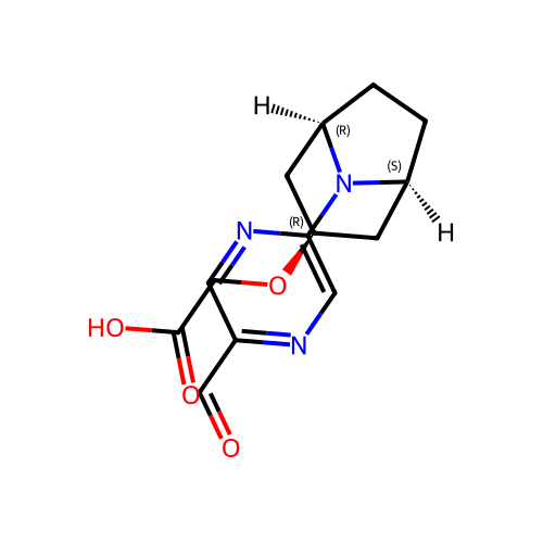 O=Cc1cnc(N2[C@@H]3CC[C@H]2C[C@@H](OCC(=O)O)C3)cn1